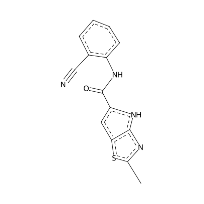 Cc1nc2[nH]c(C(=O)Nc3ccccc3C#N)cc2s1